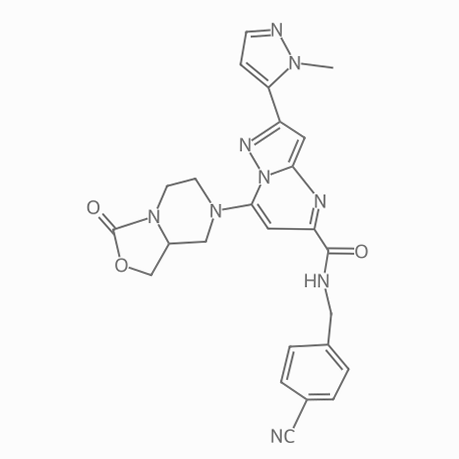 Cn1nccc1-c1cc2nc(C(=O)NCc3ccc(C#N)cc3)cc(N3CCN4C(=O)OCC4C3)n2n1